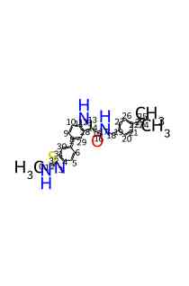 CNc1nc2ccc(-c3ccc4[nH]cc(C(=O)NCc5ccc(C(C)C)cc5)c4c3)cc2s1